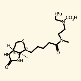 CN(CCN(CC(C)(C)C)C(=O)O)C(=O)CCCC[C@@H]1SC[C@@H]2NC(=O)N[C@@H]21